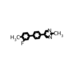 Cc1ncc(-c2ccc(-c3ccc(C)c(F)c3)cc2)cn1